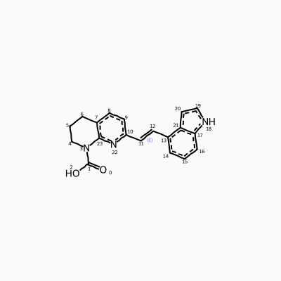 O=C(O)N1CCCc2ccc(/C=C/c3cccc4[nH]ccc34)nc21